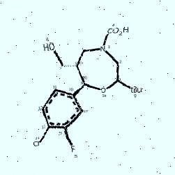 CC(C)(C)C1CN(C(=O)O)C[C@@H](CO)[C@H](c2ccc(Cl)c(F)c2)O1